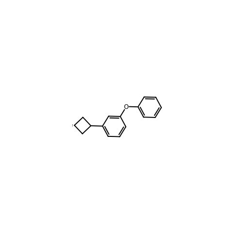 [C]1CC(c2cccc(Oc3ccccc3)c2)C1